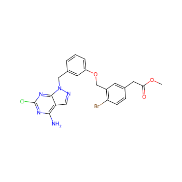 COC(=O)Cc1ccc(Br)c(COc2cccc(Cn3ncc4c(N)nc(Cl)nc43)c2)c1